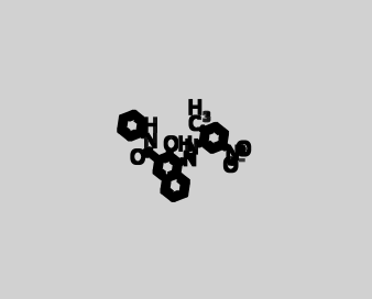 Cc1ccc([N+](=O)[O-])cc1/N=N/c1c(O)c(C(=O)Nc2ccccc2)cc2ccccc12